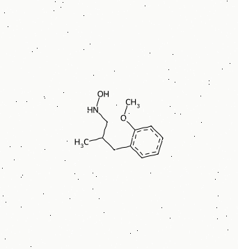 COc1ccccc1CC(C)CNO